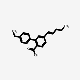 CCCC=Cc1ccc(C(=O)O)c(-c2ccc(CC)cc2)c1